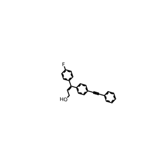 OC/C=C(/c1ccc(F)cc1)c1ccc(C#Cc2ccccc2)cc1